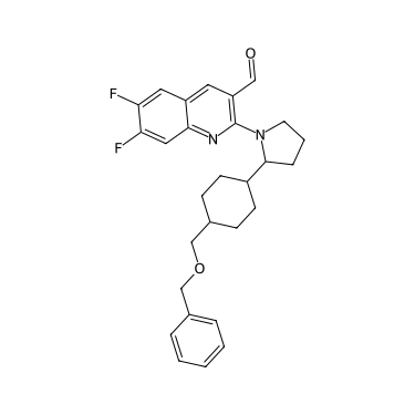 O=Cc1cc2cc(F)c(F)cc2nc1N1CCCC1C1CCC(COCc2ccccc2)CC1